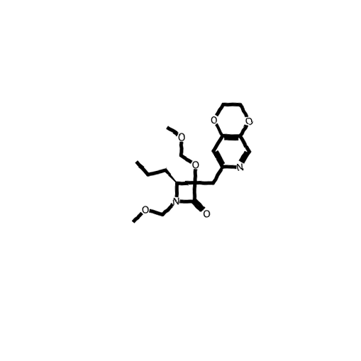 CCC[C@@H]1N(COC)C(=O)C1(Cc1cc2c(cn1)OCCO2)OCOC